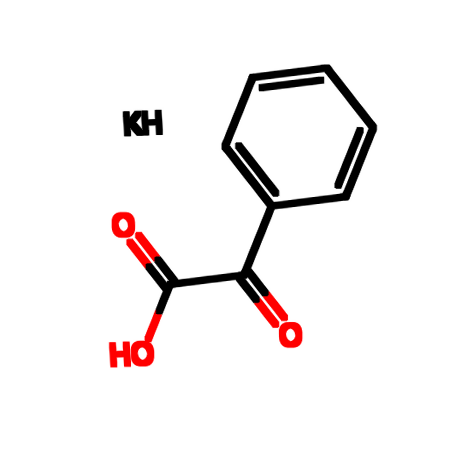 O=C(O)C(=O)c1ccccc1.[KH]